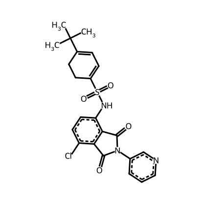 CC(C)(C)C1=CC=C(S(=O)(=O)Nc2ccc(Cl)c3c2C(=O)N(c2cccnc2)C3=O)CC1